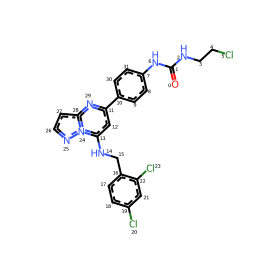 O=C(NCCCl)Nc1ccc(-c2cc(NCc3ccc(Cl)cc3Cl)n3nccc3n2)cc1